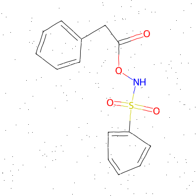 O=C(Cc1ccccc1)ONS(=O)(=O)c1ccccc1